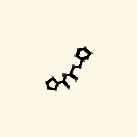 O=C(NC(=O)N1CCCC1)OCc1ccccc1